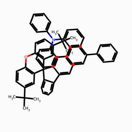 CC(C)(C)c1ccc2c(c1)C1(c3cc(C(C)(C)C)ccc3O2)c2ccccc2-c2ccc(-c3ccccc3N(c3ccccc3)c3ccccc3-c3ccc(-c4ccccc4)cc3)cc21